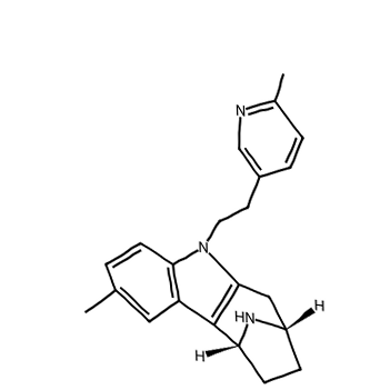 Cc1ccc2c(c1)c1c(n2CCc2ccc(C)nc2)C[C@@H]2CC[C@H]1N2